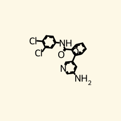 Nc1cncc(-c2c(C(=O)Nc3ccc(Cl)c(Cl)c3)c3ccc2o3)c1